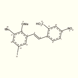 COc1c(/C=C/c2ccc([N+](=O)[O-])cc2C(=O)O)cc(I)cc1C(C)(C)C